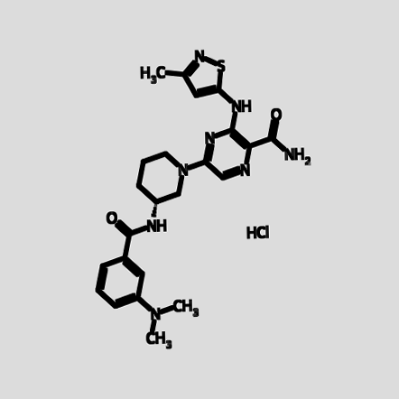 Cc1cc(Nc2nc(N3CCC[C@@H](NC(=O)c4cccc(N(C)C)c4)C3)cnc2C(N)=O)sn1.Cl